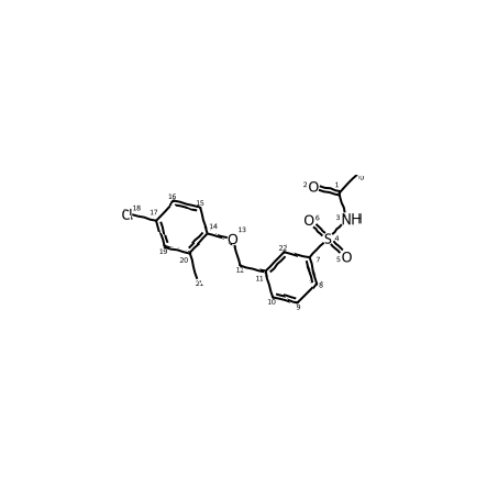 CC(=O)NS(=O)(=O)c1cccc(COc2ccc(Cl)cc2C)c1